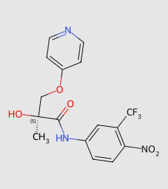 C[C@](O)(COc1ccncc1)C(=O)Nc1ccc([N+](=O)[O-])c(C(F)(F)F)c1